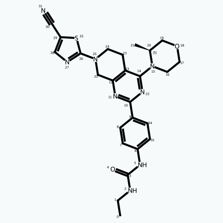 CCNC(=O)Nc1ccc(-c2nc3c(c(N4CCOC[C@@H]4C)n2)CCN(c2ncc(C#N)s2)C3)cc1